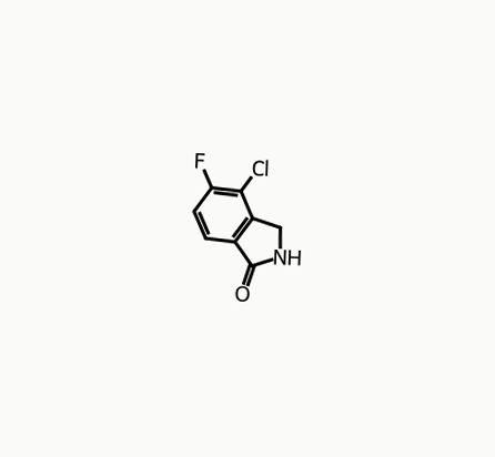 O=C1NCc2c1ccc(F)c2Cl